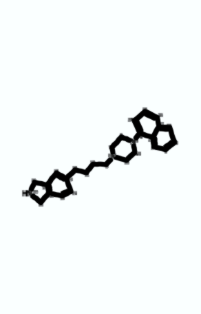 c1ccc2c(N3CCN(CCCCc4ccc5c(c4)CNC5)CC3)cccc2c1